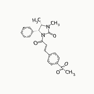 C[C@H]1[C@@H](c2ccccc2)N(C(=O)C=Cc2ccc(S(C)(=O)=O)cc2)C(=O)N1C